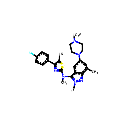 CCn1nc2c(C)cc(N3CCN(C(=O)O)CC3)cc2c1N(C)c1nc(-c2ccc(F)cc2)c(C#N)s1